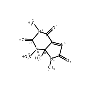 CN1C(=O)C2=NC(=O)N(C)C2(C)N(S(=O)(=O)O)C1=O